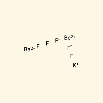 [Ba+2].[Be+2].[F-].[F-].[F-].[F-].[F-].[K+]